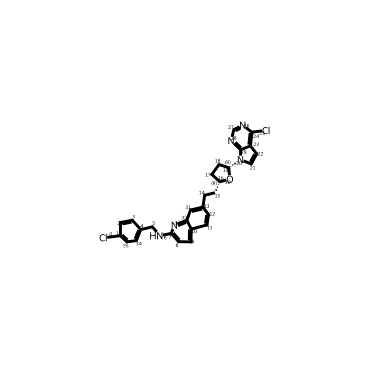 Clc1ccc(CNc2ccc3ccc(CC[C@@H]4CC[C@H](n5ccc6c(Cl)ncnc65)O4)cc3n2)cc1